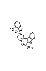 COc1ccccc1S(=O)(=O)N1CCO[C@H](c2c(C(N)=O)sc3ccccc23)C1